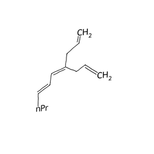 C=CCC(=CC=CCCC)CC=C